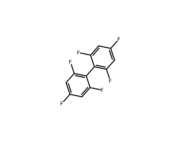 Fc1[c]c(F)c(-c2c(F)cc(F)cc2F)c(F)c1